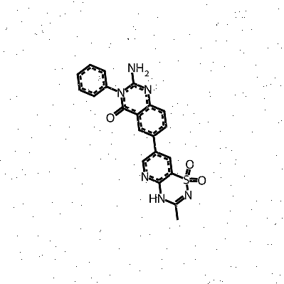 CC1=NS(=O)(=O)c2cc(-c3ccc4nc(N)n(-c5ccccc5)c(=O)c4c3)cnc2N1